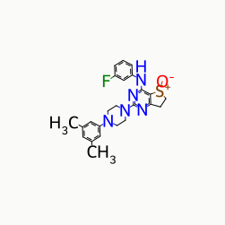 Cc1cc(C)cc(N2CCN(c3nc4c(c(Nc5cccc(F)c5)n3)[S+]([O-])CC4)CC2)c1